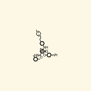 CCCc1ccc(Oc2nc(Nc3ccc(CCN4CCN(C)CC4)cc3)ncc2C(=O)Nc2c(C)cccc2C)c(OC)c1